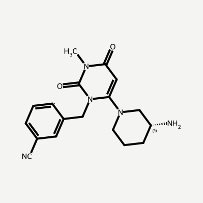 Cn1c(=O)cc(N2CCC[C@@H](N)C2)n(Cc2[c]ccc(C#N)c2)c1=O